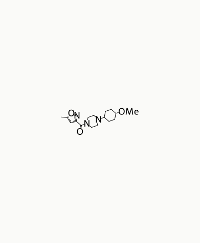 COC1CCC(N2CCN(C(=O)c3cc(C)on3)CC2)CC1